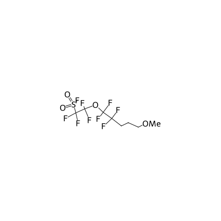 COCCCC(F)(F)C(F)(F)OC(F)(F)C(F)(F)S(=O)(=O)F